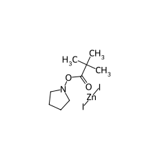 CC(C)(C)C(=O)ON1CCCC1.[I][Zn][I]